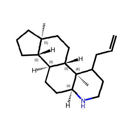 C=CCC1CCN[C@H]2CC[C@H]3[C@@H]4CCC[C@@]4(C)CC[C@@H]3[C@@]12C